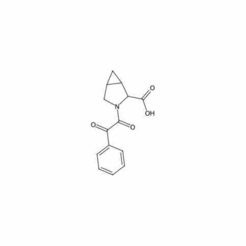 O=C(C(=O)N1CC2CC2C1C(=O)O)c1ccccc1